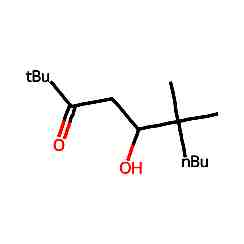 CCCCC(C)(C)C(O)CC(=O)C(C)(C)C